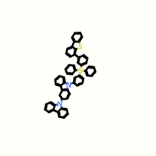 C1=CC(n2c3ccccc3c3ccccc32)Cc2c1n(-c1cccc(S(c3ccccc3)(c3ccccc3)c3cccc(-c4cccc5c4sc4ccccc45)c3)c1)c1ccccc21